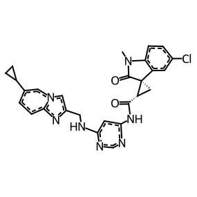 CN1C(=O)[C@@]2(C[C@@H]2C(=O)Nc2cc(NCc3cn4cc(C5CC5)ccc4n3)ncn2)c2cc(Cl)ccc21